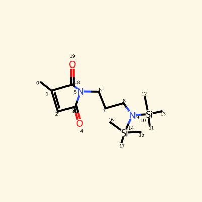 CC1=CC(=O)N(CCCN([Si](C)(C)C)[Si](C)(C)C)C1=O